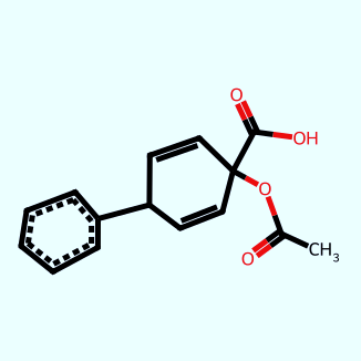 CC(=O)OC1(C(=O)O)C=CC(c2ccccc2)C=C1